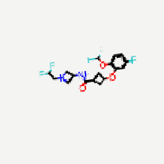 O=C(NC1CN(CC(F)F)C1)C1CC(Oc2cc(F)ccc2OC(F)F)C1